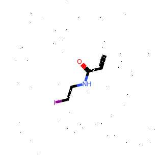 C=CC(=O)NCCI